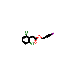 O=C(Cc1c(Cl)cccc1Cl)OCC#CI